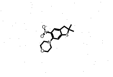 CC1(C)Cc2cc([N+](=O)[O-])c(N3CCOCC3)cc2S1